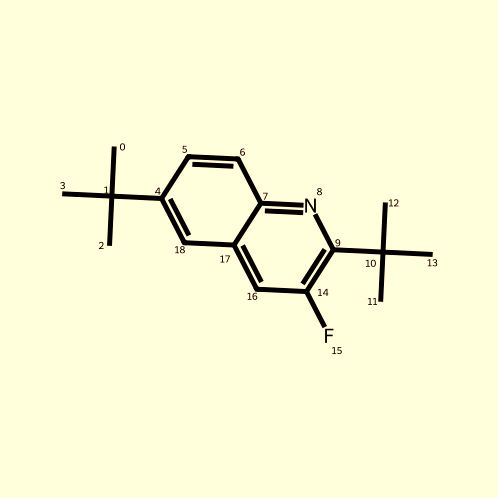 CC(C)(C)c1ccc2nc(C(C)(C)C)c(F)cc2c1